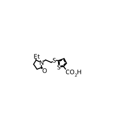 CCC1CCC(=O)N1CCSc1ccc(C(=O)O)s1